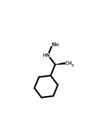 C[C@H](NC(C)(C)C)C1CCCCC1